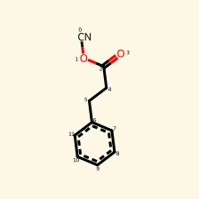 N#COC(=O)CCc1ccccc1